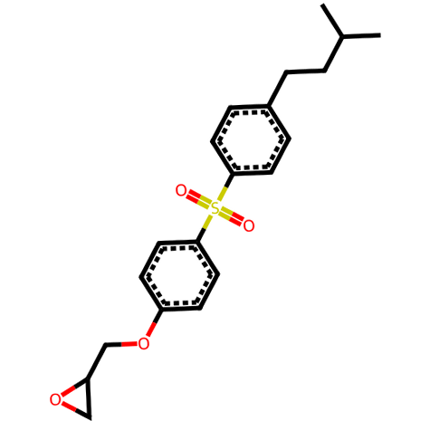 CC(C)CCc1ccc(S(=O)(=O)c2ccc(OCC3CO3)cc2)cc1